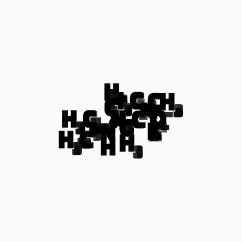 CC(C)(C)[O-].CC(C)NC(C)C.[K+]